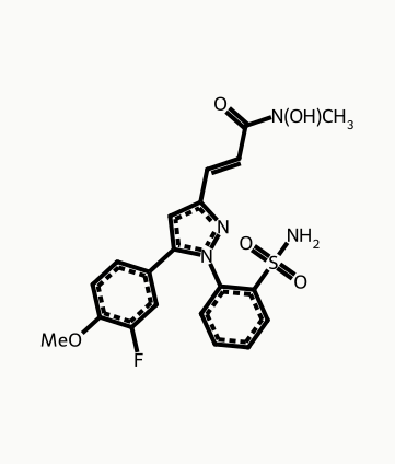 COc1ccc(-c2cc(C=CC(=O)N(C)O)nn2-c2ccccc2S(N)(=O)=O)cc1F